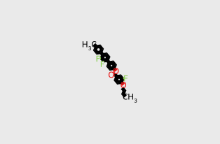 CCCCOc1ccc(C(=O)Oc2ccc(-c3ccc(C4CCC(C)CC4)c(F)c3F)cc2)cc1F